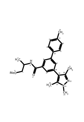 COCC(C)NC(=O)c1cc(-c2ccc(C)cc2)cc(-c2c(C)nn(C)c2C)c1